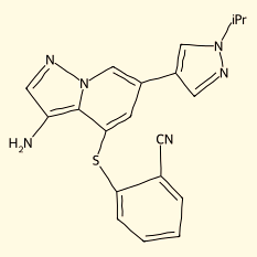 CC(C)n1cc(-c2cc(Sc3ccccc3C#N)c3c(N)cnn3c2)cn1